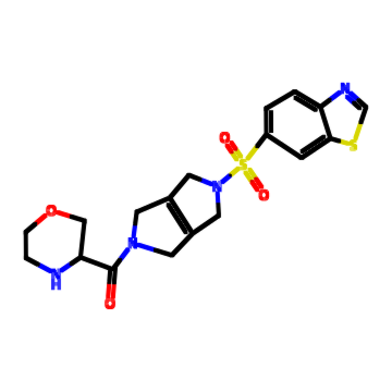 O=C(C1COCCN1)N1CC2=C(C1)CN(S(=O)(=O)c1ccc3ncsc3c1)C2